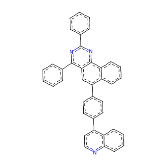 c1ccc(-c2nc(-c3ccccc3)c3cc(-c4ccc(-c5ccnc6ccccc56)cc4)c4ccccc4c3n2)cc1